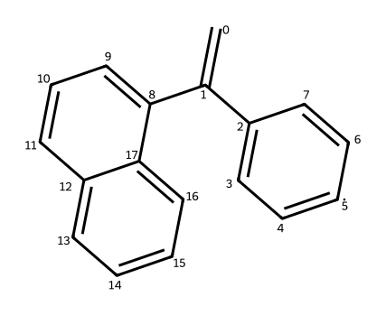 C=C(c1cc[c]cc1)c1cccc2ccccc12